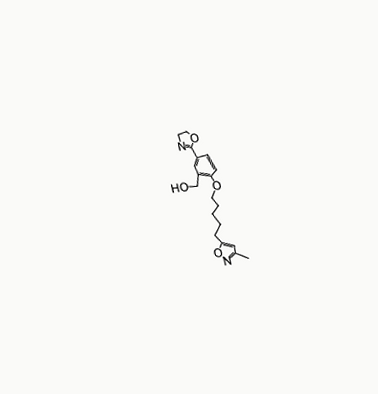 Cc1cc(CCCCCOc2ccc(C3=NCCO3)cc2CO)on1